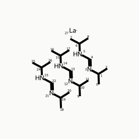 CC(C)N=CNC(C)C.CC(C)N=CNC(C)C.CC(C)N=CNC(C)C.[La]